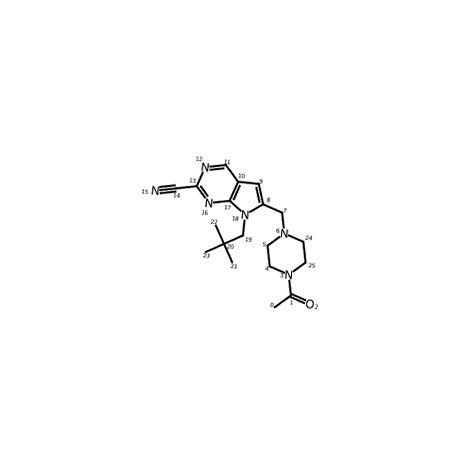 CC(=O)N1CCN(Cc2cc3cnc(C#N)nc3n2CC(C)(C)C)CC1